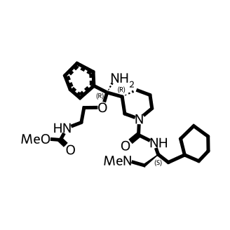 CNC[C@H](CC1CCCCC1)NC(=O)N1CCC[C@@H]([C@@](N)(OCCNC(=O)OC)c2ccccc2)C1